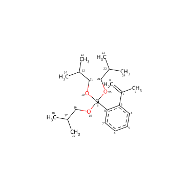 C=C(C)c1ccccc1[Si](OCC(C)C)(OCC(C)C)OCC(C)C